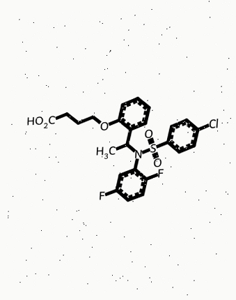 CC(c1ccccc1OCCCC(=O)O)N(c1cc(F)ccc1F)S(=O)(=O)c1ccc(Cl)cc1